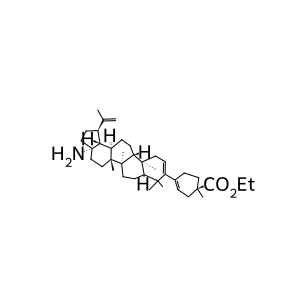 C=C(C)[C@@H]1CC[C@]2(N)CC[C@]3(C)[C@H](CC[C@@H]4[C@@]5(C)CC=C(C6=CC[C@](C)(C(=O)OCC)CC6)C(C)(C)[C@@H]5CC[C@]43C)[C@@H]12